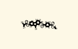 C=COC(=O)c1ccc(C(=O)Sc2ccc3c(c2)C(C)c2cc(OC(=O)C(=C)C)ccc2-3)cc1